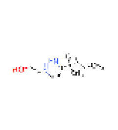 CCCC(C)(C)C(=N)/C=C\NCCO